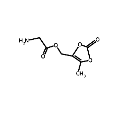 Cc1oc(=O)oc1COC(=O)CN